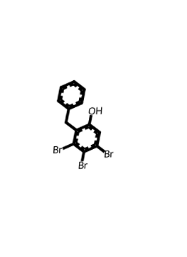 Oc1cc(Br)c(Br)c(Br)c1Cc1ccccc1